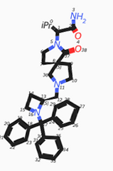 CC(C)C(C(N)=O)N1CC[C@]2(CCN(C[C@@H]3CCN3C(c3ccccc3)(c3ccccc3)c3ccccc3)C2)C1=O